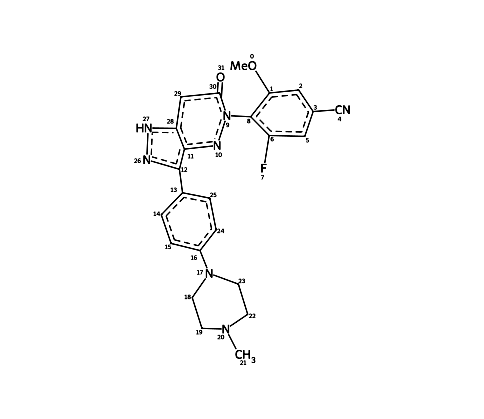 COc1cc(C#N)cc(F)c1-n1nc2c(-c3ccc(N4CCN(C)CC4)cc3)n[nH]c2cc1=O